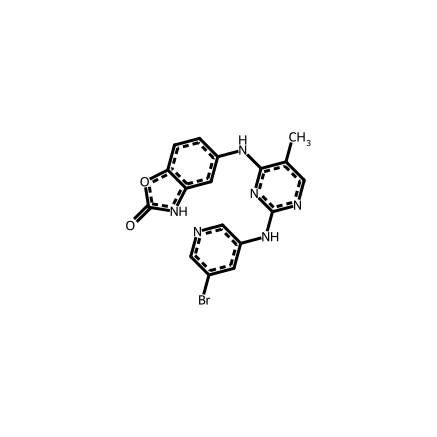 Cc1cnc(Nc2cncc(Br)c2)nc1Nc1ccc2oc(=O)[nH]c2c1